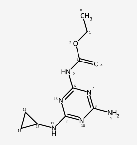 CCOC(=O)Nc1nc(N)nc(NC2CC2)n1